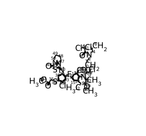 C=CCN(CC=C)C(=O)C(Cl)Cl.CCc1cccc(C)c1N(C(=O)CCl)C(C)COC.COC(=O)CSc1cc(/N=c2\sc(=O)n3n2CCCC3)c(F)cc1Cl